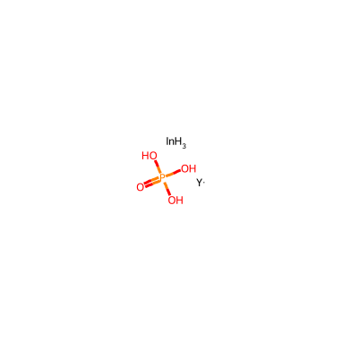 O=P(O)(O)O.[InH3].[Y]